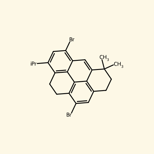 CC(C)c1cc(Br)c2cc3c4c(cc(Br)c5c4c2c1CC5)CCC3(C)C